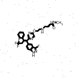 CNC(=O)C=CCNCCOc1cnc(/C(=C(/CC(F)(F)F)c2ccccc2)c2ccc3[nH]nc(F)c3c2)cn1